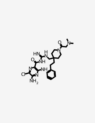 CN(C)CC(=O)N1CCC(CCc2cc#ccc2)(CNC(=N)NC(=O)c2nc(Cl)c(N)nc2N)CC1